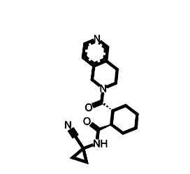 N#CC1(NC(=O)[C@@H]2CCCC[C@H]2C(=O)N2CCc3cnccc3C2)CC1